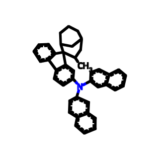 CC1CC2CCCC(C2)C12c1ccccc1-c1ccc(N(c3ccc4ccccc4c3)c3ccc4ccccc4c3)cc12